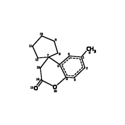 Cc1ccc2c(c1)C1(CCCCC1)CC(=O)O2